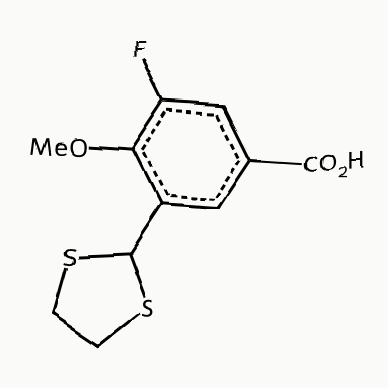 COc1c(F)cc(C(=O)O)cc1C1SCCS1